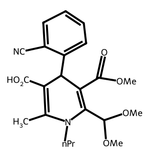 CCCN1C(C)=C(C(=O)O)C(c2ccccc2C#N)C(C(=O)OC)=C1C(OC)OC